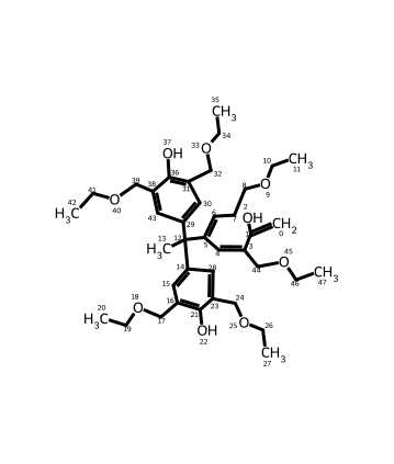 C=C(O)/C(=C\C(=C/CCOCC)C(C)(c1cc(COCC)c(O)c(COCC)c1)c1cc(COCC)c(O)c(COCC)c1)COCC